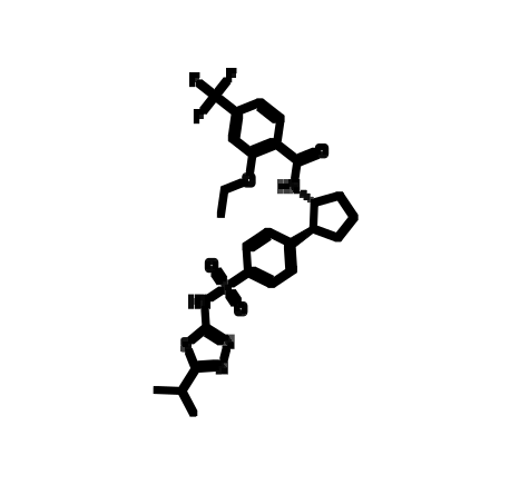 CCOc1cc(C(F)(F)F)ccc1C(=O)N[C@@H]1CCC[C@H]1c1ccc(S(=O)(=O)Nc2nnc(C(C)C)s2)cc1